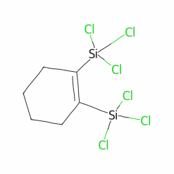 Cl[Si](Cl)(Cl)C1=C([Si](Cl)(Cl)Cl)CCCC1